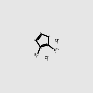 CCC(C)C1=[C]([Ti+2])CC=C1.[Cl-].[Cl-]